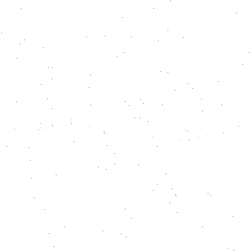 CN1CCN(C(=O)CCCc2ccc(Nc3ncc(F)c(N[C@H]4CCC[C@H]4C(N)=O)n3)cc2)CC1